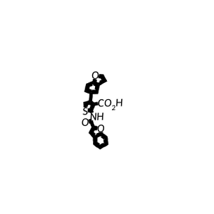 O=C(Nc1scc(-c2ccc3occc3c2)c1C(=O)O)c1cc2ccccc2o1